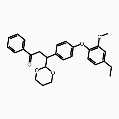 CCc1ccc(Oc2ccc(C(CC(=O)c3ccccc3)C3OCCCO3)cc2)c(OC)c1